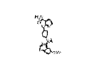 COc1ccc2ncnc(N[C@H]3CC[C@H](Oc4ncccc4C(N)=O)CC3)c2c1